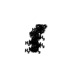 N=C(N)NC(NC(=O)C(NC(=N)N)NC(=O)C(NC(=N)N)NC(=O)C(NC(=N)N)NC(=O)C(NC(=O)C(O)N(Cc1c(Cl)cccc1Cl)c1nc(-c2ccccc2)nc2ccccc12)c1ccccc1)C(N)=O